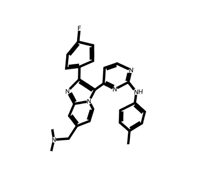 Cc1ccc(Nc2nccc(-c3c(-c4ccc(F)cc4)nc4cc(CN(C)C)ccn34)n2)cc1